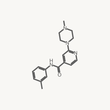 Cc1cccc(NC(=O)c2ccnc(N3CCN(C)CC3)c2)c1